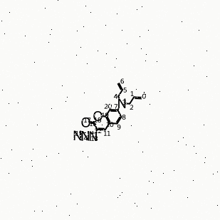 C=CCN(CC=C)c1ccc2cc(N=[N+]=[N-])c(=O)oc2c1